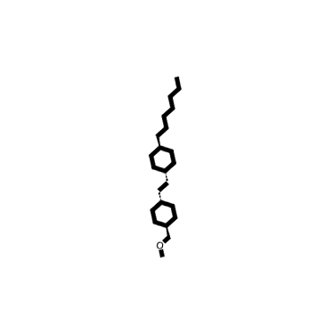 CCCCCCC[C@H]1CC[C@H](CC[C@H]2CC[C@H](COC)CC2)CC1